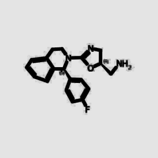 NC[C@@H]1CN=C(N2CCc3ccccc3[C@@H]2c2ccc(F)cc2)O1